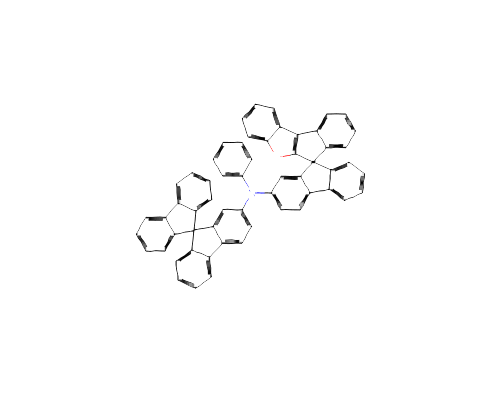 c1ccc(N(c2ccc3c(c2)C2(c4ccccc4-c4ccccc42)c2ccccc2-3)c2ccc3c(c2)C2(c4ccccc4-3)c3ccccc3-c3c2oc2ccccc32)cc1